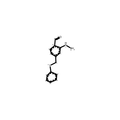 BNc1cc(CSc2ccccc2)ccc1C=O